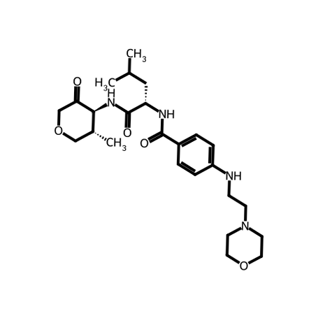 CC(C)C[C@H](NC(=O)c1ccc(NCCN2CCOCC2)cc1)C(=O)N[C@@H]1C(=O)COC[C@H]1C